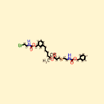 CC(C)(CCCCc1cccc(COC(=O)NCCBr)c1)OC(=O)CCSCCNC(=O)OCc1ccccc1